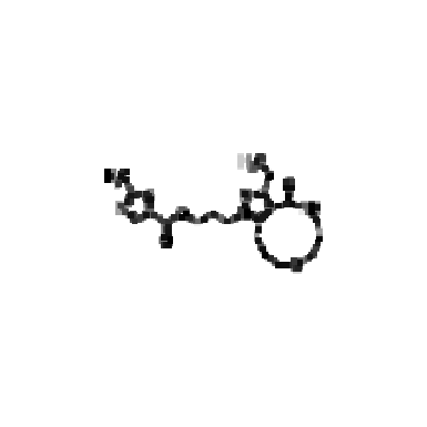 CCc1nn(CCCOC(=O)c2cnc(C)s2)c2c1C(=O)NCCCOCCC2